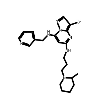 CC1CCCCN1CCCNc1cc(NCc2cccnc2)n2ncc(Br)c2n1